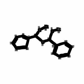 CCOC(OC(OCC)c1ccccc1)c1ccccc1